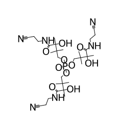 CC(C)(COP(=O)(OCC(C)(C)C(C)(O)C(=O)NCCC#N)OCC(C)(C)C(C)(O)C(=O)NCCC#N)C(C)(O)C(=O)NCCC#N